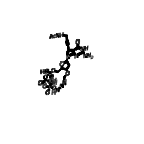 CC(=O)NCC#Cc1cn([C@H]2C[C@@H](OCN=[N+]=[N-])[C@@H](COP(=O)(O)OP(=O)(O)OP(=O)(O)O)O2)c2nc(N)[nH]c(=O)c12